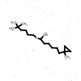 CC(C)(C)CCCCCC(O)CCCCCC1(C)CC1